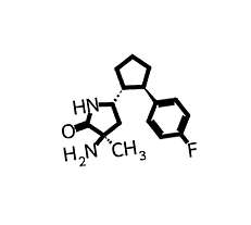 C[C@@]1(N)CC([C@@H]2CCC[C@H]2c2ccc(F)cc2)NC1=O